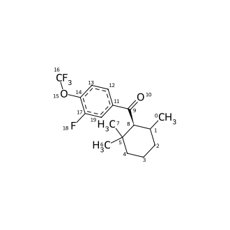 CC1CCCC(C)(C)[C@H]1C(=O)c1ccc(OC(F)(F)F)c(F)c1